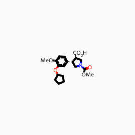 COC(=O)N1C[C@H](C(=O)O)[C@@H](c2ccc(OC)c(OC3CCCC3)c2)C1